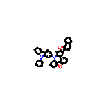 c1ccc(-n2c3ccccc3c3ccc(N(c4ccc5c(c4)oc4c6ccccc6ccc54)c4cccc5oc6ccccc6c45)cc32)cc1